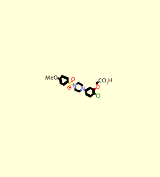 COc1ccc(S(=O)(=O)N2CCN(c3ccc(Cl)c(OCC(=O)O)c3)CC2)cc1